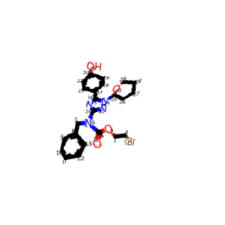 O=C(OCCBr)N(Cc1ccccc1)c1nc(-c2ccc(O)cc2)n(C2CCCCO2)n1